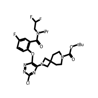 CC(C)N(CC(F)F)C(=O)c1cc(F)ccc1Oc1nnc(Cl)nc1N1CC2(CCN(C(=O)OC(C)(C)C)CC2)C1